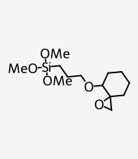 CO[Si](CCCOC1CCCCC12CO2)(OC)OC